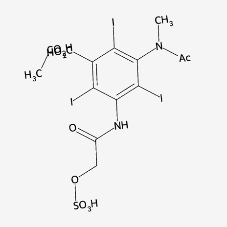 CC(=O)N(C)c1c(I)c(NC(=O)COS(=O)(=O)O)c(I)c(C(=O)O)c1I.CC(=O)O